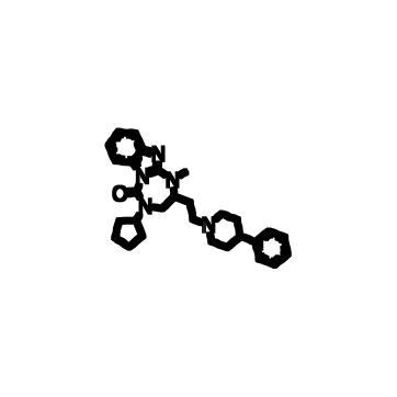 CN1c2nc3ccccc3n2C(=O)N(C2CCCC2)CC1CCN1CCC(c2ccccc2)CC1